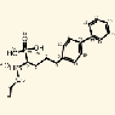 CCO[PH](=O)C(CCCc1ccc(-c2ccccc2)cc1)P(=O)(O)O